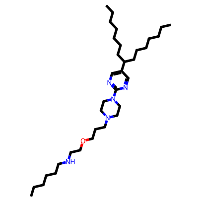 CCCCCCCC(CCCCCCC)c1cnc(N2CCN(CCCOCCNCCCCCC)CC2)nc1